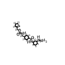 NNc1cccc(NC(=O)c2ccc(CNC(=O)OCc3cccs3)cc2)c1